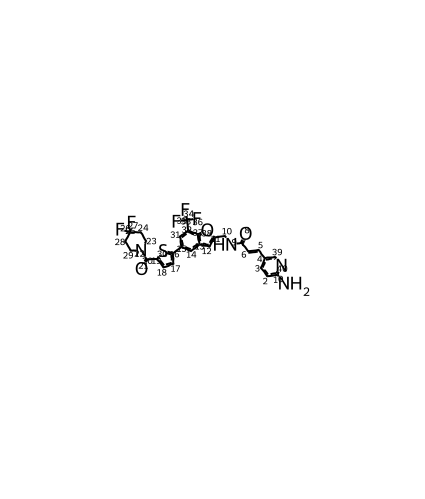 Nc1ccc(/C=C/C(=O)NCc2cc3cc(-c4ccc(C(=O)N5CCC(F)(F)CC5)s4)cc(C(F)(F)F)c3o2)cn1